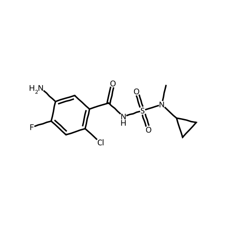 CN(C1CC1)S(=O)(=O)NC(=O)c1cc(N)c(F)cc1Cl